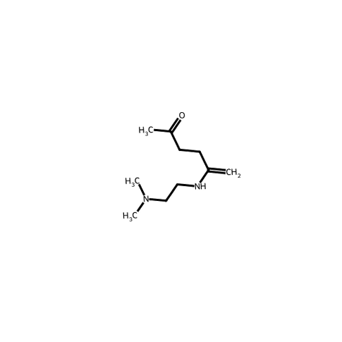 C=C(CCC(C)=O)NCCN(C)C